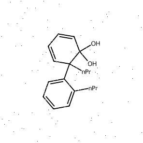 CCCc1ccccc1C1(CCC)C=CC=CC1(O)O